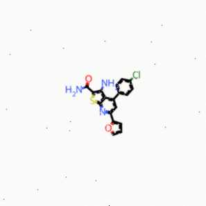 NC(=O)c1sc2nc(-c3ccco3)cc(-c3ccc(Cl)cc3)c2c1N